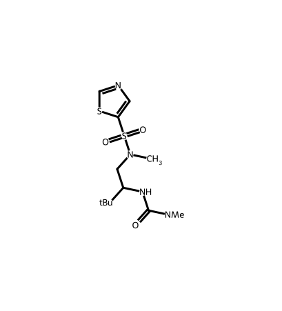 CNC(=O)NC(CN(C)S(=O)(=O)c1cncs1)C(C)(C)C